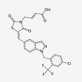 O=C(O)/C=C/CN1C(=O)SC(=Cc2ccc3c(cnn3Cc3ccc(Cl)cc3C(F)(F)F)c2)C1=O